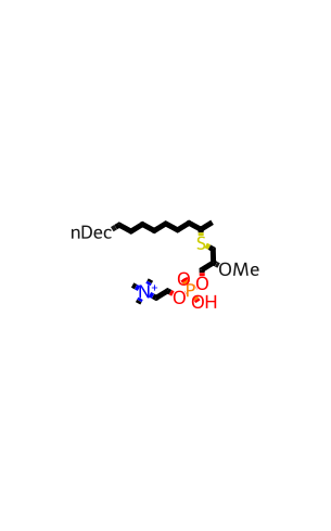 CCCCCCCCCCCCCCCCCC(C)SCC(COP(=O)(O)OCC[N+](C)(C)C)OC